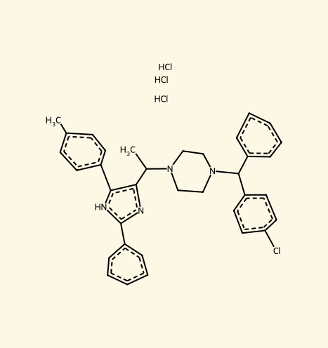 Cc1ccc(-c2[nH]c(-c3ccccc3)nc2C(C)N2CCN(C(c3ccccc3)c3ccc(Cl)cc3)CC2)cc1.Cl.Cl.Cl